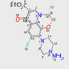 CCOC(=O)c1cn2c3c(c(N4CCN(N)CC4)c(F)cc3c1=O)OC[C@H]2C